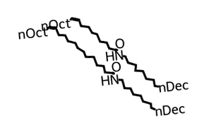 CCCCCCCC/C=C\CCCCCCCC(=O)NCCCCCCCCCCCCCCCCCC.CCCCCCCC/C=C\CCCCCCCCCCCC(=O)NCCCCCCCCCCCCCCCCCC